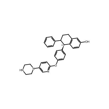 Oc1ccc2c(c1)CCC(c1ccccc1)[C@@H]2c1ccc(Oc2ccc(N3CCNCC3)cn2)cc1